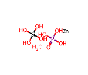 O.O=P(O)(O)O.O[Si](O)(O)O.[Zn]